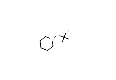 FC(F)(F)C([O][Al]1[CH2]CCC[CH2]1)(C(F)(F)F)C(F)(F)F